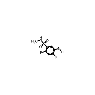 CNS(=O)(=O)c1cc(N=O)c(F)cc1F